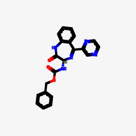 O=C(N[C@H]1N=C(c2cnccn2)c2ccccc2NC1=O)OCc1ccccc1